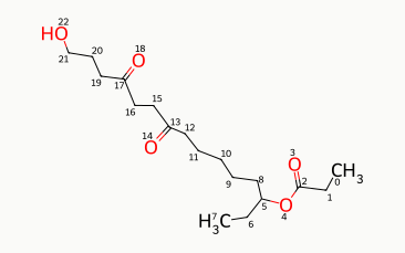 CCC(=O)OC(CC)CCCCCC(=O)CCC(=O)CCCO